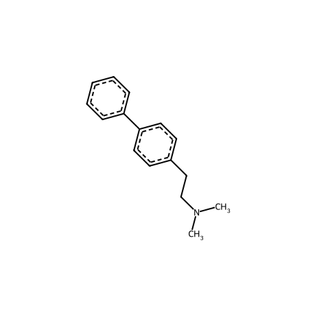 CN(C)CCc1ccc(-c2ccccc2)cc1